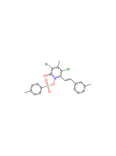 Cc1ccc(S(=O)(=O)On2c(C=Cc3cccc(C)c3)c(Br)c(C)c(Br)c2=O)cc1